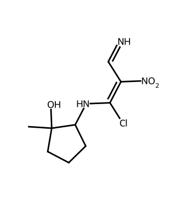 CC1(O)CCCC1N/C(Cl)=C(\C=N)[N+](=O)[O-]